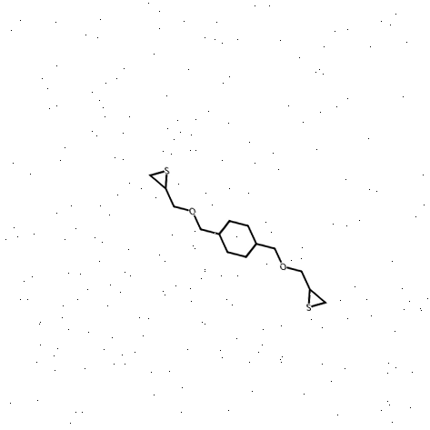 C1CC(COCC2CS2)CCC1COCC1CS1